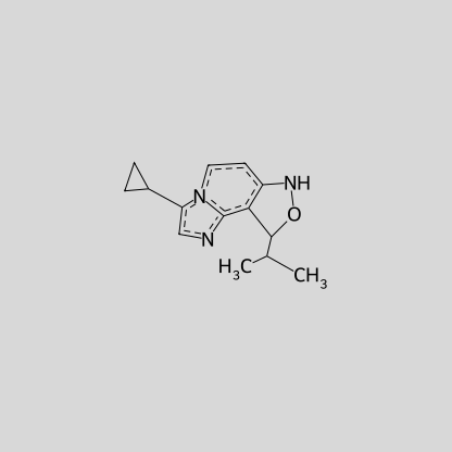 CC(C)C1ONc2ccn3c(C4CC4)cnc3c21